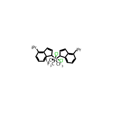 [CH2]=[Zr]([Cl])([Cl])([CH]1C=Cc2c(C(C)C)cccc21)([CH]1C=Cc2c(C(C)C)cccc21)([C](F)(F)F)[C](F)(F)F